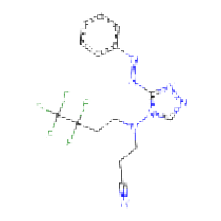 N#CCCN(CCC(F)(F)C(F)(F)F)n1cnnc1N=Nc1ccccc1